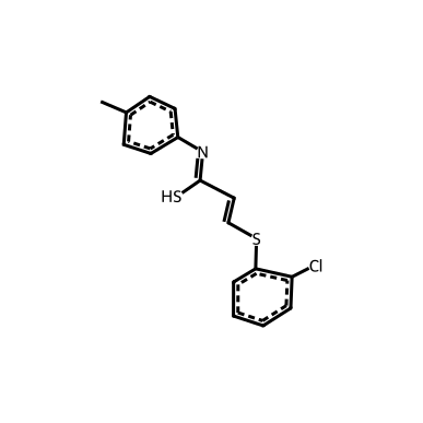 Cc1ccc(N=C(S)C=CSc2ccccc2Cl)cc1